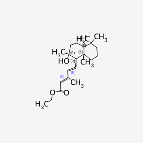 CCOC(=O)/C=C(C)/C=C/[C@@H]1[C@@]2(C)CCCC(C)(C)[C@@H]2CC[C@@]1(C)O